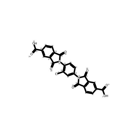 O=C(O)c1ccc2c(c1)C(=O)N(c1ccc(N3C(=O)c4ccc(C(=O)O)cc4C3=O)c(Cl)c1)C2=O